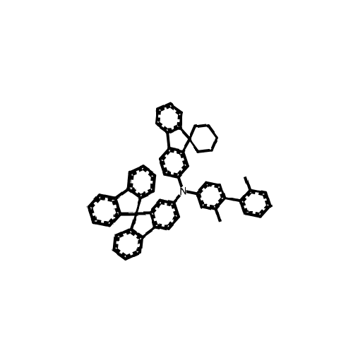 Cc1ccccc1-c1ccc(N(c2ccc3c(c2)C2(CCCCC2)c2ccccc2-3)c2ccc3c(c2)C2(c4ccccc4-c4ccccc42)c2ccccc2-3)cc1C